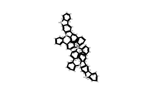 O=S12(c3ccccc3-c3cc(-c4ccccc4-n4c5ccccc5c5cc6c(cc54)sc4ccccc46)ccc31)c1ccccc1-c1cc(-c3ccccc3-n3c4ccccc4c4cc5c(cc43)sc3ccccc35)ccc12